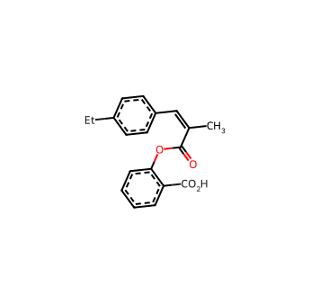 CCc1ccc(C=C(C)C(=O)Oc2ccccc2C(=O)O)cc1